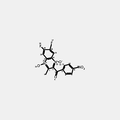 Cc1c(C(=O)c2ccc([N+](=O)[O-])cc2)[n+]([O-])c2cc(F)c(F)cc2[n+]1[O-]